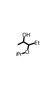 CCC(OC(C)C)C(C)O